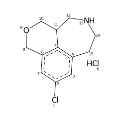 Cl.Clc1cc2c3c(c1)COCC3CNCC2